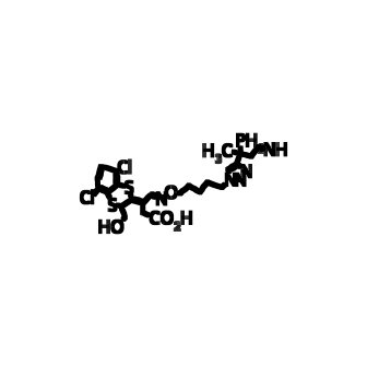 CC(P)(CC=N)c1cn(CCCCCO/N=C/C(CC(=O)O)=C2\Sc3c(Cl)ccc(Cl)c3SC2CO)nn1